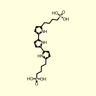 O=P(O)(O)CCCCc1ccc(-c2ccc(-c3ccc(CCCCP(=O)(O)O)[nH]3)[nH]2)[nH]1